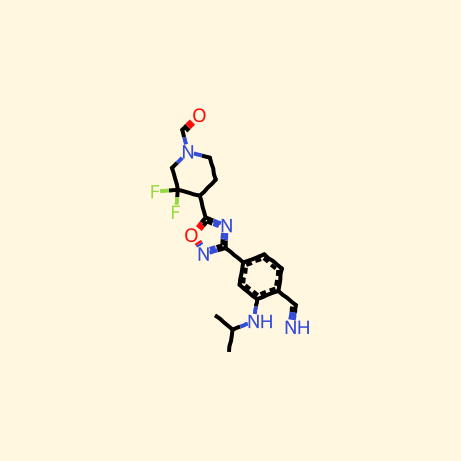 CC(C)Nc1cc(-c2noc(C3CCN(C=O)CC3(F)F)n2)ccc1C=N